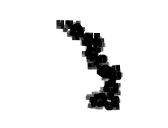 Cn1c(-c2cn(-c3ccc(N)cn3)nc2C(F)(F)F)cnc1C(=O)Nc1ccc(C(=O)N2CCN(C(=O)[C@H]3CC[N+](C)(C)C[C@@H]3O)CC2)c(Cl)c1